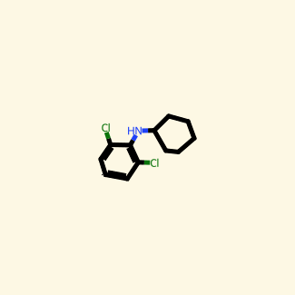 Clc1c[c]cc(Cl)c1NC1CCCCC1